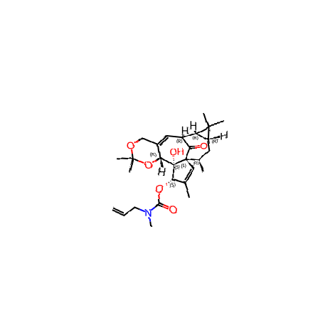 C=CCN(C)C(=O)O[C@H]1C(C)=C[C@]23C(=O)[C@@H](C=C4COC(C)(C)O[C@H]4[C@]12O)[C@H]1[C@@H](C[C@H]3C)C1(C)C